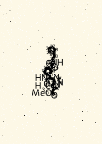 COC(=O)c1cn2ncnc(C3C(=O)Nc4ccc(S(=O)(=O)NCCN5CCCC5)cc43)c2c1C